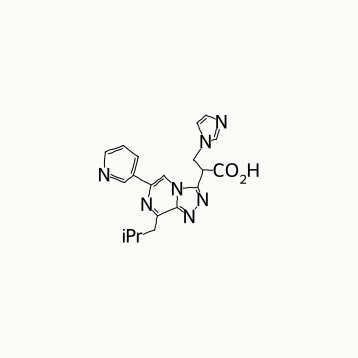 CC(C)Cc1nc(-c2cccnc2)cn2c(C(Cn3ccnc3)C(=O)O)nnc12